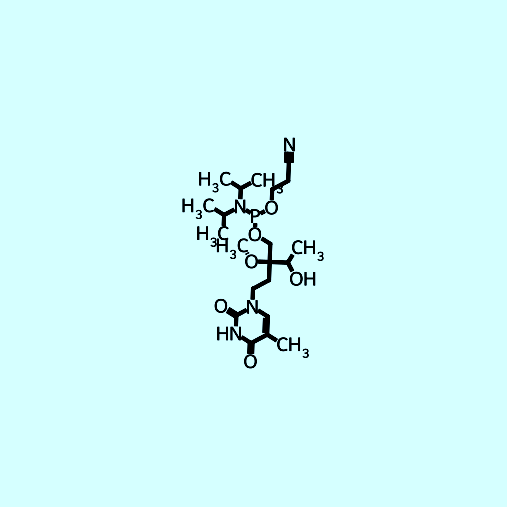 COC(CCn1cc(C)c(=O)[nH]c1=O)(COP(OCCC#N)N(C(C)C)C(C)C)C(C)O